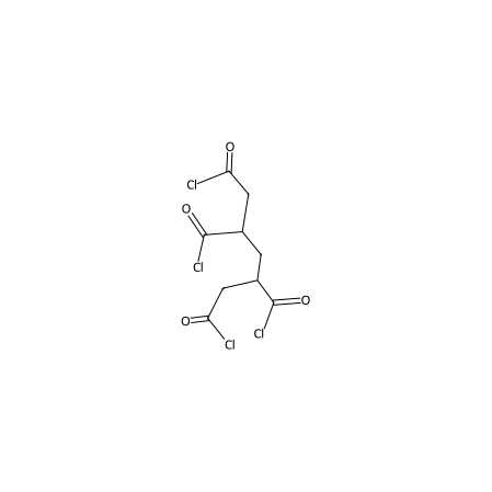 O=C(Cl)CC(CC(CC(=O)Cl)C(=O)Cl)C(=O)Cl